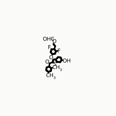 Cc1ccc(C(=O)c2sc3cc(O)ccc3c2Oc2cc(F)c(/C=C/OC=O)c(F)c2)c(C)c1